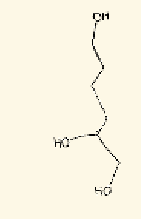 OCCCC[C](O)CO